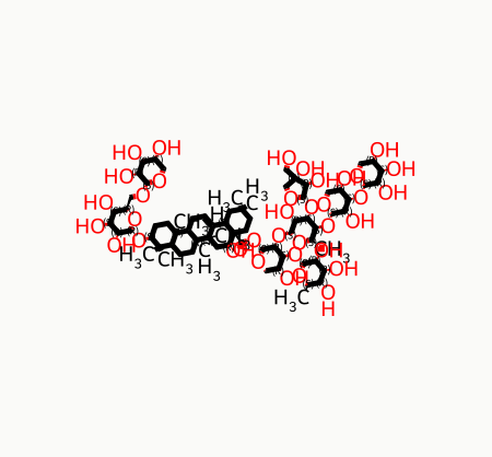 C[C@@H]1O[C@@H](O[C@@H]2[C@@H](O[C@@H]3O[C@@H](C)[C@H](O[C@@H]4OC[C@H](O)[C@H](O[C@@H]5OC[C@@H](O)[C@H](O)[C@H]5O)[C@H]4O)[C@@H](O[C@@H]4OC[C@](O)(CO)[C@H]4O)[C@H]3O)[C@H](OC(=O)[C@]34CCC(C)(C)C[C@H]3C3=CCC5[C@@]6(C)CC[C@H](O[C@@H]7O[C@H](CO[C@@H]8OC[C@H](O)[C@H](O)[C@H]8O)[C@@H](O)[C@H](O)[C@H]7O)C(C)(C)C6CC[C@@]5(C)[C@]3(C)C[C@H]4O)OC[C@H]2O)[C@H](O)[C@H](O)[C@H]1O